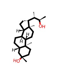 C[C@@H]([C@H]1CC[C@H]2[C@@H]3CC[C@H]4C[C@@](C)(O)CC[C@]4(C)[C@H]3CC[C@]12C)[C@@H](C)O